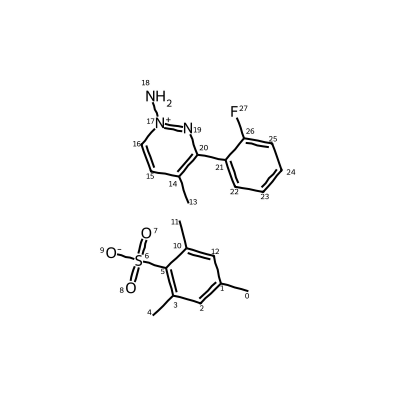 Cc1cc(C)c(S(=O)(=O)[O-])c(C)c1.Cc1cc[n+](N)nc1-c1ccccc1F